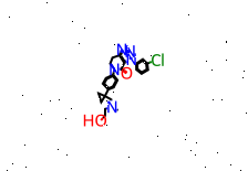 CN(CCO)CC1(c2ccc(N3CCc4nnn(-c5cccc(Cl)c5)c4C3=O)cc2)CC1